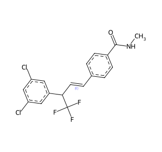 CNC(=O)c1ccc(/C=C/C(c2cc(Cl)cc(Cl)c2)C(F)(F)F)cc1